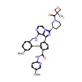 COc1ccc(NC(=O)c2ccc(-c3nc([C@@H]4CCCN(C(=O)C5(C)COC5)C4)n4ccnc(NCc5ccc(OC)cc5OC)c34)cc2)nc1